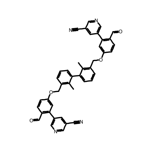 Cc1c(COc2ccc(C=O)c(-c3cncc(C#N)c3)c2)cccc1-c1cccc(COc2ccc(C=O)c(-c3cncc(C#N)c3)c2)c1C